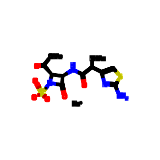 COC(=O)[C@H]1[C@@H](NC(=O)C(NC(C)=O)c2csc(N)n2)C(=O)N1S(=O)(=O)[O-].[Na+]